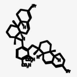 CC(C)C1=CC2=CC[C@H]3[C@](C)(Cc4ccc(C(=O)O)c(C(=O)O)c4C[C@]4(C)CCC[C@]5(C)[C@H]6CCC(C(C)C)=CC6=CC[C@@H]45)CCC[C@]3(C)[C@H]2CC1